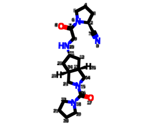 N#C[C@@H]1CCCN1C(=O)CN[C@@H]1C[C@@H]2CN(C(=O)N3CCCC3)C[C@@H]2C1